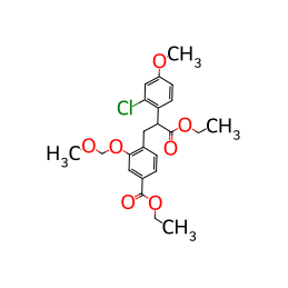 CCOC(=O)c1ccc(CC(C(=O)OCC)c2ccc(OC)cc2Cl)c(OCOC)c1